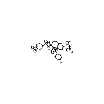 O=C(C1CCS(=O)(=O)CC1)N1CC[C@]2(S(=O)(=O)c3ccc(F)cc3)c3ccc(C(F)(C(F)(F)F)C(F)(F)F)cc3CC[C@H]12